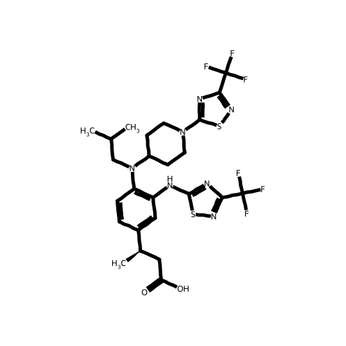 CC(C)CN(c1ccc([C@H](C)CC(=O)O)cc1Nc1nc(C(F)(F)F)ns1)C1CCN(c2nc(C(F)(F)F)ns2)CC1